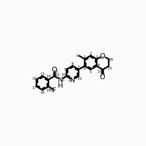 Cc1cc2c(cc1-c1ccc(NC(=O)c3ccccc3F)nc1)C(=O)CCO2